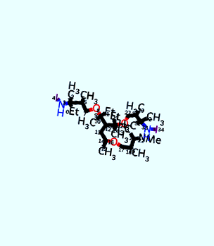 CCC(C)(NI)C(C)COC(C)(CC)C(CC(C)OCC(C)C(C)NC)C(C)(CC)OCC(C)C(C)(C)NI